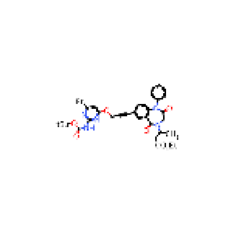 CCOC(=O)CC(C)N1CC(=O)N(c2ccccc2)c2ccc(C#CCOc3cc(CC)nc(NC(=O)OC(C)(C)C)n3)cc2C1=O